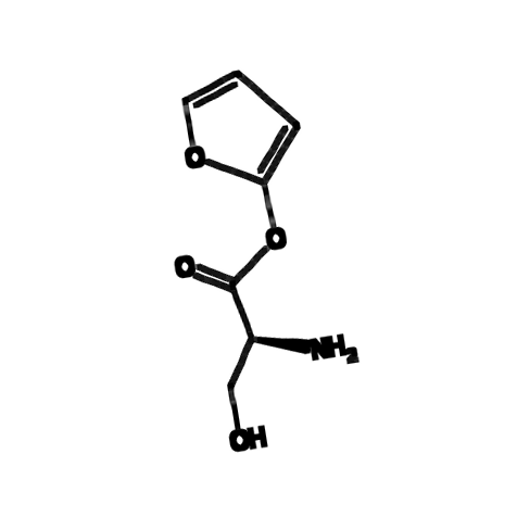 N[C@@H](CO)C(=O)Oc1ccco1